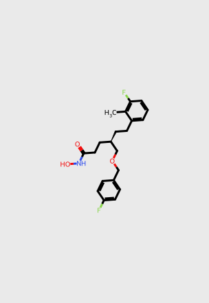 Cc1c(F)cccc1CC[C@H](CCC(=O)NO)COCc1ccc(F)cc1